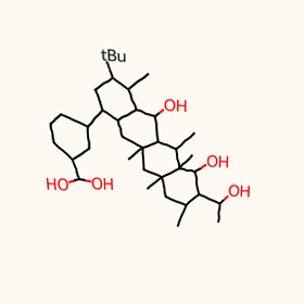 CC(O)C1C(C)CC2(C)CC3(C)CC4C(C5CCCC(C(O)O)C5)CC(C(C)(C)C)C(C)C4C(O)C3C(C)C2(C)C1O